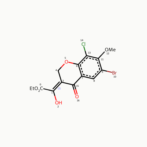 CCOC(=O)/C(O)=C1\COc2c(cc(Br)c(OC)c2Cl)C1=O